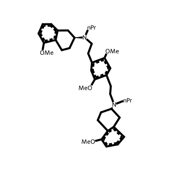 CCCN(CCc1cc(OC)c(CCN(CCC)[C@H]2CCc3c(cccc3OC)C2)cc1OC)[C@H]1CCc2c(cccc2OC)C1